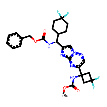 CC(C)(C)OC(=O)NC1(c2cnn3cc([C@@H](NC(=O)OCc4ccccc4)C4CCC(F)(F)CC4)nc3n2)CC(F)(F)C1